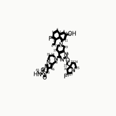 CCc1c(F)ccc2cc(O)cc(N3CCc4c(nc(OC[C@@]56CCCN5C[C@H](F)C6)nc4N4CCCn5nc(CS(=O)(=O)NC)cc5C4)C3)c12